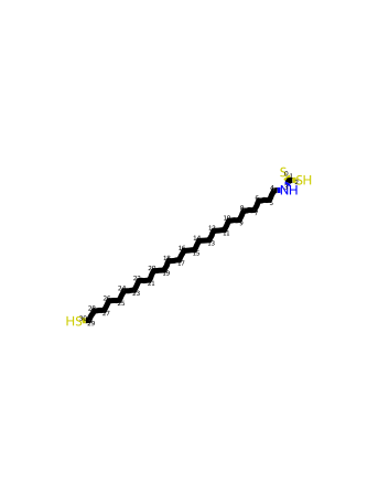 S=C(S)NCCCCCCCCCCCCCCCCCCCCCCCCCCS